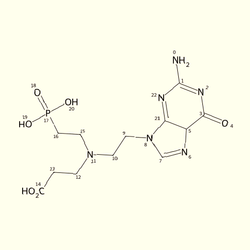 NC1=NC(=O)C2N=CN(CCN(CCC(=O)O)CCP(=O)(O)O)C2=N1